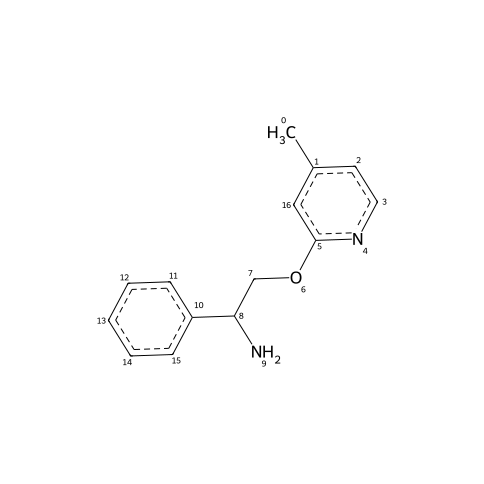 Cc1ccnc(OCC(N)c2ccccc2)c1